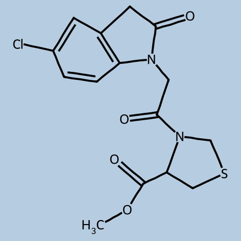 COC(=O)C1CSCN1C(=O)CN1C(=O)Cc2cc(Cl)ccc21